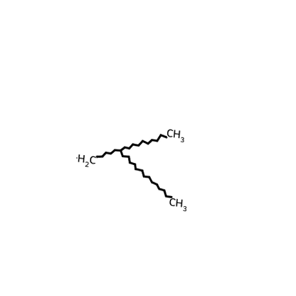 [CH2]CCCCCC(CCCCCCCCCCC)CCCCCCCCCCCCCCC